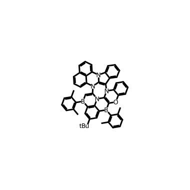 Cc1cccc(C)c1B1C=c2n3c4c(oc5ccccc5n4c4c5ccccc5n5c6cccc7cccc(c76)n2c45)B(c2c(C)cccc2C)c2cc(C(C)(C)C)cc1c2-3